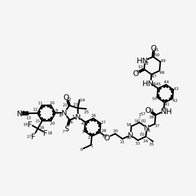 CCc1cc(N2C(=S)N(c3ccc(C#N)c(C(F)(F)F)c3)C(=O)C2(C)C)ccc1OCCN1C[C@H](C)N(CC(=O)Nc2cccc(NC3CCC(=O)NC3=O)c2)[C@@H](C)C1